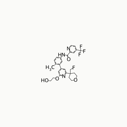 Cc1ccc(NC(=O)c2cc(C(F)(F)F)ccn2)cc1-c1cc(OCCO)nc(C2(CF)CCOCC2)c1